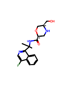 CC(C)(NC(=O)[C@@H]1CN[C@H](CO)CO1)c1ncc(F)c2ccccc12